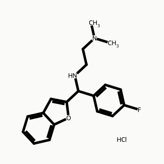 CN(C)CCNC(c1ccc(F)cc1)c1cc2ccccc2o1.Cl